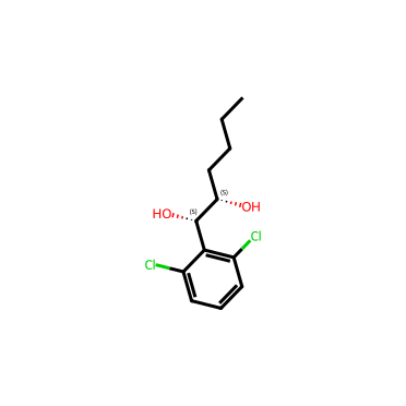 CCCC[C@H](O)[C@@H](O)c1c(Cl)cccc1Cl